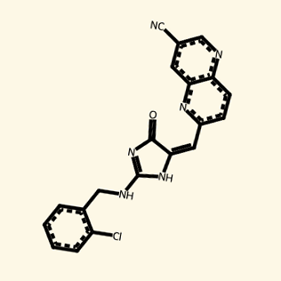 N#Cc1cnc2ccc(C=C3NC(NCc4ccccc4Cl)=NC3=O)nc2c1